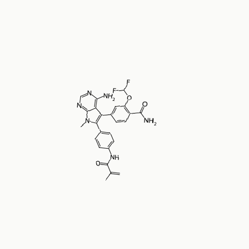 C=C(C)C(=O)Nc1ccc(-c2c(-c3ccc(C(N)=O)c(OC(F)F)c3)c3c(N)ncnc3n2C)cc1